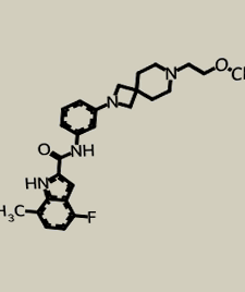 COCCN1CCC2(CC1)CN(c1cccc(NC(=O)c3cc4c(F)ccc(C)c4[nH]3)c1)C2